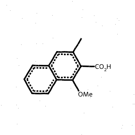 COc1c(C(=O)O)c(C)cc2ccccc12